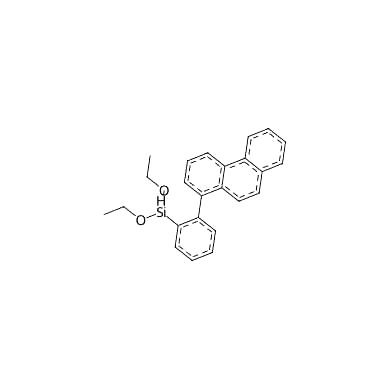 CCO[SiH](OCC)c1ccccc1-c1cccc2c1ccc1ccccc12